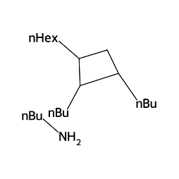 CCCCCCC1CC(CCCC)C1CCCC.CCCCN